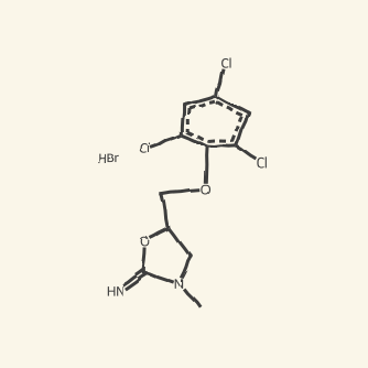 Br.CN1CC(COc2c(Cl)cc(Cl)cc2Cl)OC1=N